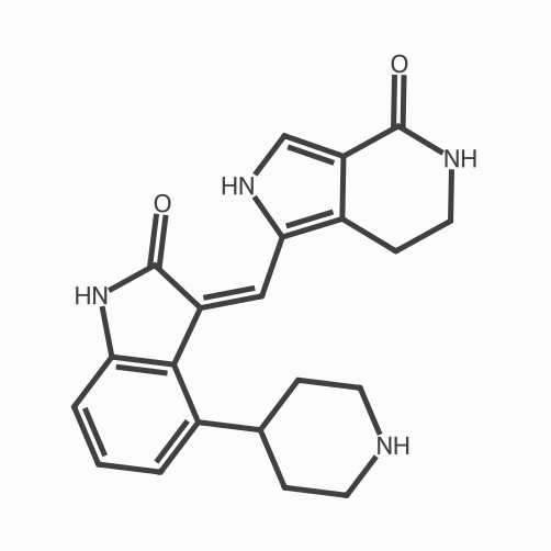 O=C1Nc2cccc(C3CCNCC3)c2C1=Cc1[nH]cc2c1CCNC2=O